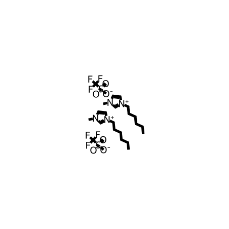 CCCCCC[n+]1ccn(C)c1.CCCCCC[n+]1ccn(C)c1.O=S(=O)([O-])C(F)(F)F.O=S(=O)([O-])C(F)(F)F